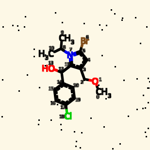 COCc1cc(Br)n(C(C)C)c1C(O)c1ccc(Cl)cc1